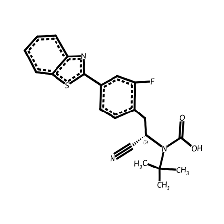 CC(C)(C)N(C(=O)O)[C@H](C#N)Cc1ccc(-c2nc3ccccc3s2)cc1F